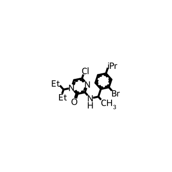 CCC(CC)n1cc(Cl)nc(NC(C)c2ccc(C(C)C)cc2Br)c1=O